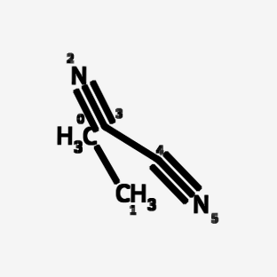 CC.N#CC#N